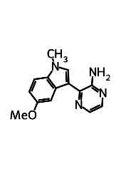 COc1ccc2c(c1)c(-c1nccnc1N)cn2C